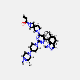 C=CC(=O)N1CC2(CCN(c3nc(N4CCC(N5CCN(C)[C@@H](C)C5)CC4)nc(-c4c(C)ccc5cnn(C)c45)c3C#N)C2)C1